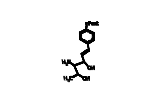 CCCCCc1ccc(C=CC(O)C(N)C(C)O)cc1